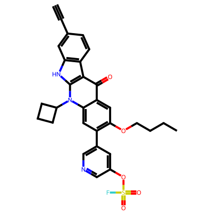 C#Cc1ccc2c(c1)[nH]c1c2c(=O)c2cc(OCCCC)c(-c3cncc(OS(=O)(=O)F)c3)cc2n1C1CCC1